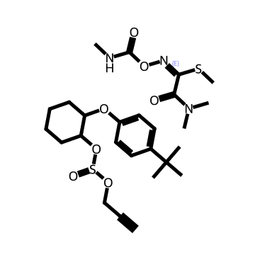 C#CCOS(=O)OC1CCCCC1Oc1ccc(C(C)(C)C)cc1.CNC(=O)O/N=C(/SC)C(=O)N(C)C